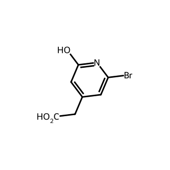 O=C(O)Cc1cc(O)nc(Br)c1